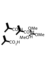 C=C(C)C(=O)O.C=C(C)C(=O)O.C=C(C)C(=O)O.CO[SiH](OC)OC